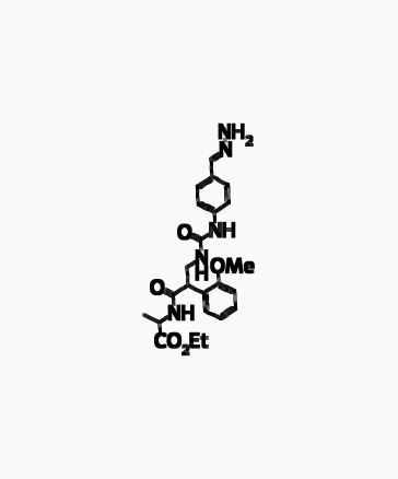 CCOC(=O)C(C)NC(=O)C(CNC(=O)Nc1ccc(C=NN)cc1)c1ccccc1OC